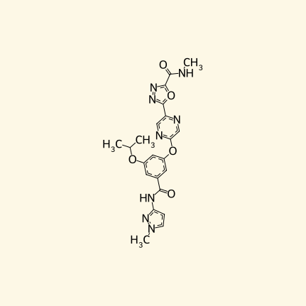 CNC(=O)c1nnc(-c2cnc(Oc3cc(OC(C)C)cc(C(=O)Nc4ccn(C)n4)c3)cn2)o1